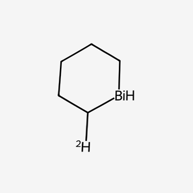 [2H][CH]1CCC[CH2][BiH]1